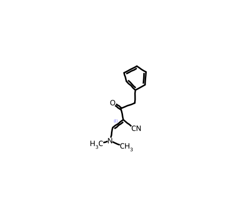 CN(C)/C=C(\C#N)C(=O)Cc1ccccc1